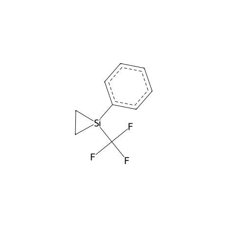 FC(F)(F)[Si]1(c2ccccc2)CC1